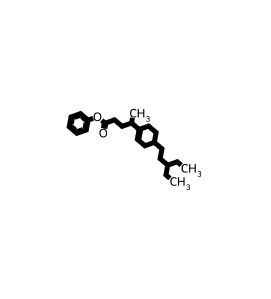 CCC(CC)CCC1CC=C(C(C)CCC(=O)Oc2ccccc2)CC1